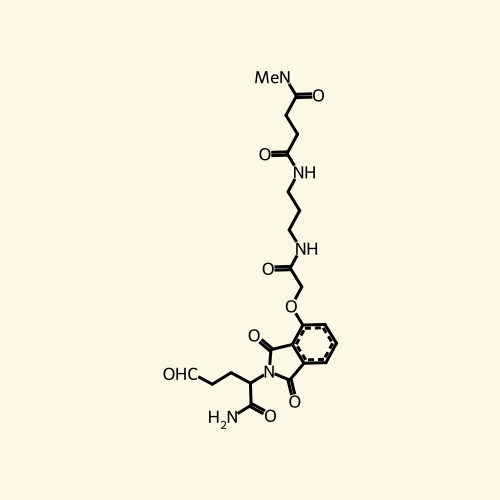 CNC(=O)CCC(=O)NCCCNC(=O)COc1cccc2c1C(=O)N(C(CCC=O)C(N)=O)C2=O